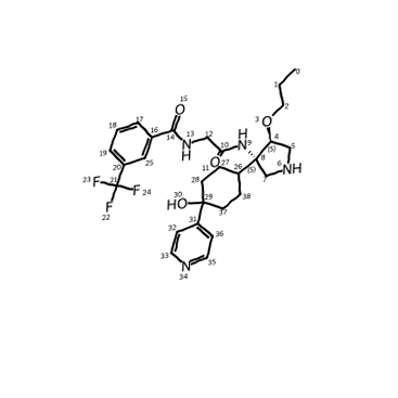 CCCO[C@H]1CNC[C@@]1(NC(=O)CNC(=O)c1cccc(C(F)(F)F)c1)C1CCC(O)(c2ccncc2)CC1